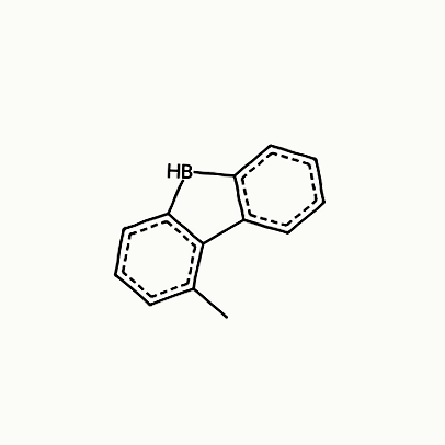 Cc1cccc2c1-c1ccccc1B2